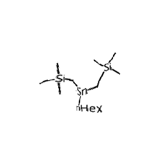 CCCCC[CH2][Sn]([CH2][Si](C)(C)C)[CH2][Si](C)(C)C